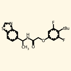 CC(NC(=O)COc1cc(F)c(C(C)(C)C)c(F)c1)c1ccc2scnc2c1